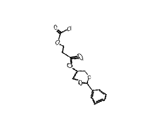 O=C(Cl)OCCC(=O)OC1COC(c2ccccc2)OC1